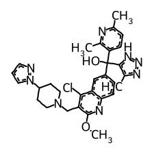 COc1nc2ccc(C(O)(c3ccc(C)nc3C)c3[nH]nnc3C)cc2c(Cl)c1CN1CCC(n2cccn2)CC1